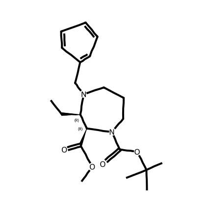 CC[C@@H]1[C@H](C(=O)OC)N(C(=O)OC(C)(C)C)CCCN1Cc1ccccc1